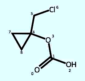 O=C(O)OC1(CCl)CC1